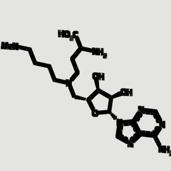 CNCCCCN(CCC(N)C(=O)O)C[C@H]1O[C@@H](n2cnc3c(N)ncnc32)[C@H](O)[C@@H]1O